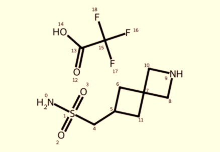 NS(=O)(=O)CC1CC2(CNC2)C1.O=C(O)C(F)(F)F